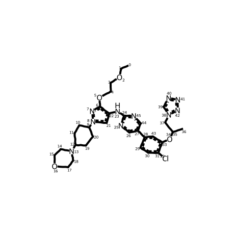 CCOCCOc1nn(C2CCC(N3CCOCC3)CC2)cc1Nc1ncc(-c2ccc(Cl)c(OC(C)Cn3cnnn3)c2)cn1